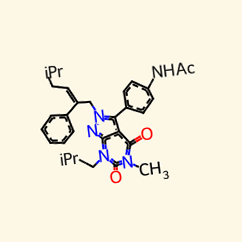 CC(=O)Nc1ccc(-c2c3c(=O)n(C)c(=O)n(CC(C)C)c3nn2CC(=CCC(C)C)c2ccccc2)cc1